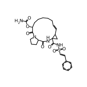 NC(=O)OC1CCCCC/C=C/C2CC2(C(=O)NS(=O)(=O)/C=C/c2ccccc2)NC(=O)C2CCCN2C1=O